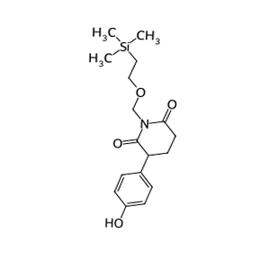 C[Si](C)(C)CCOCN1C(=O)CCC(c2ccc(O)cc2)C1=O